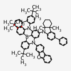 CC(C)(C)c1ccc(N2c3cc(C(C)(C)C)ccc3B3c4ccc(C(C)(C)C)cc4N(c4ccc5c(c4)oc4ccccc45)c4cc(N5c6ccc(-c7ccccc7)cc6C6(C)CCCCC56C)cc2c43)c(-c2ccccc2)c1